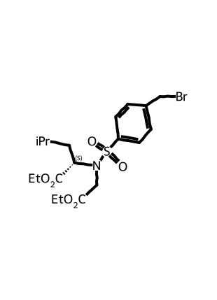 CCOC(=O)CN([C@@H](CC(C)C)C(=O)OCC)S(=O)(=O)c1ccc(CBr)cc1